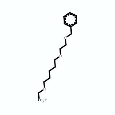 CCOC(=O)COCCCCCOCCOCc1ccccc1